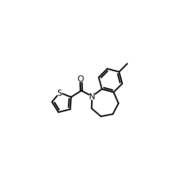 Cc1ccc2c(c1)CCCCN2C(=O)c1cccs1